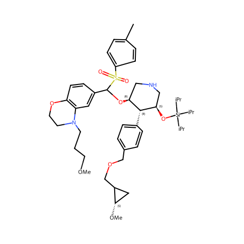 COCCCN1CCOc2ccc(C(O[C@H]3CNC[C@@H](O[Si](C(C)C)(C(C)C)C(C)C)[C@@H]3c3ccc(COCC4C[C@@H]4OC)cc3)S(=O)(=O)c3ccc(C)cc3)cc21